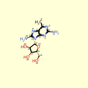 Cc1nc(N)nc2c1nc(N)n2[C@@H]1O[C@H](CO)[C@@H](O)[C@H]1O